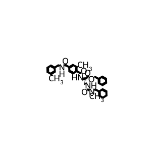 Cc1cccc(CNC(=O)c2ccc(C(=O)N[C@@H](CNC(=O)N(C)CC3=CCCC=C3)C(=O)OCc3ccccc3)c(C)c2)c1